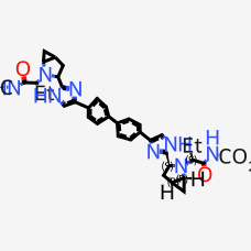 CCC(C(=O)NC(=O)O)N1C(c2nc(-c3ccc(-c4ccc(-c5c[nH]c([C@@H]6C[C@H]7C[C@H]7N6[C@@H](CC)C(=O)NC(=O)O)n5)cc4)cc3)c[nH]2)CC2CC21